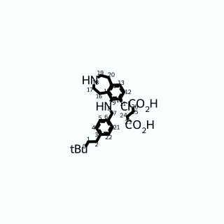 CC(C)(C)CCc1ccc(CNc2c(Cl)ccc3c2CCNCC3)cc1.O=C(O)CCC(=O)O